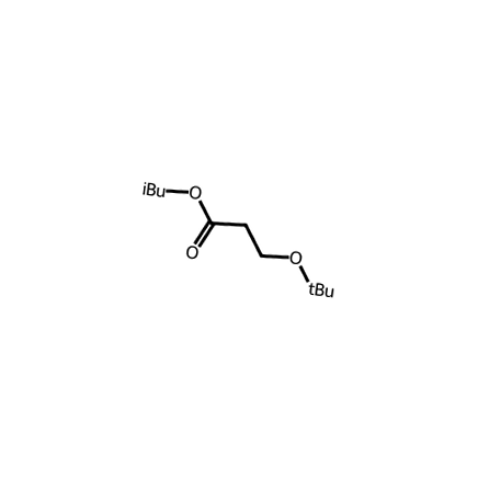 CCC(C)OC(=O)CCOC(C)(C)C